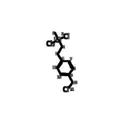 C[Si](Cl)(Cl)CCc1ccc(CCl)cc1